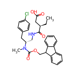 CC[C@H](CC(=O)O)C(=O)NC[C@@H](Cc1ccc(Cl)cc1)N(C)C(=O)OCC1c2ccccc2-c2ccccc21